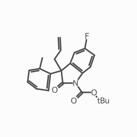 C=CCC1(c2ccccc2C)C(=O)N(C(=O)OC(C)(C)C)c2ccc(F)cc21